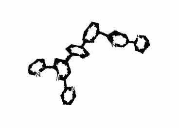 c1ccc(-c2ccc(-c3cccc(-c4ccc(-c5cc(-c6ccccn6)nc(-c6ccccn6)c5)cc4)c3)nc2)nc1